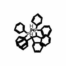 c1ccc(C2C(c3ccccc3)(c3ccccc3)[PH](c3ccccc3)(c3ccccc3)P[PH]2(c2ccccc2)c2ccccc2)cc1